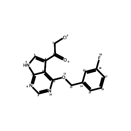 O=C(CCl)c1c[nH]c2ncnc(OCc3cccc(F)c3)c12